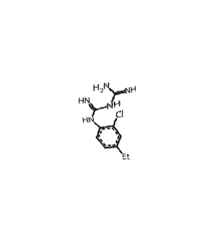 CCc1ccc(NC(=N)NC(=N)N)c(Cl)c1